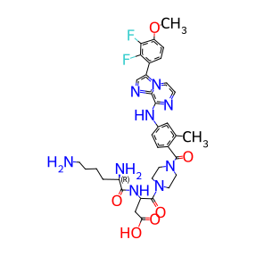 COc1ccc(-c2cnc3c(Nc4ccc(C(=O)N5CCN(C(=O)C(CC(=O)O)NC(=O)[C@H](N)CCCCN)CC5)c(C)c4)nccn23)c(F)c1F